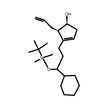 C=CC[C@@H]1C(CCC(O[Si](C)(C)C(C)(C)C)C2CCCCC2)=CC[C@@H]1O